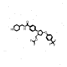 O=C(NCC1CCNCC1)c1ccc(N2C[C@@H](Oc3ccc(C(F)(F)F)cc3)C[C@H]2COC(F)F)cc1